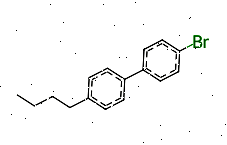 CCCCc1ccc(-c2ccc(Br)cc2)cc1